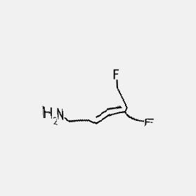 NC=C(F)F